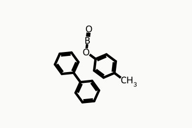 Cc1ccc(OB=O)cc1.c1ccc(-c2ccccc2)cc1